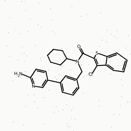 Nc1ccc(-c2cccc(CN(C(=O)c3sc4ccccc4c3Cl)C3CCCCC3)c2)cn1